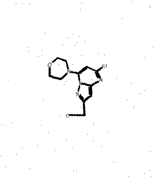 ClCc1cc2nc(Cl)cc(N3CCOCC3)n2n1